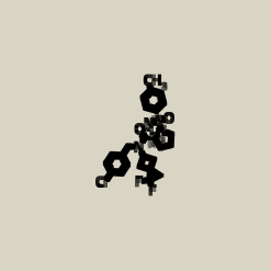 CN=[S@](=O)(c1ccc(C)cc1)N1CCC[C@H]1C(=O)N(Cc1ccc(Cl)cc1)C1CC2(C1)CC2(F)F